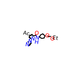 CCOCCOC1CCC(NC(=O)c2cc(C(C)=O)cc(-n3ccnc3)n2)CC1